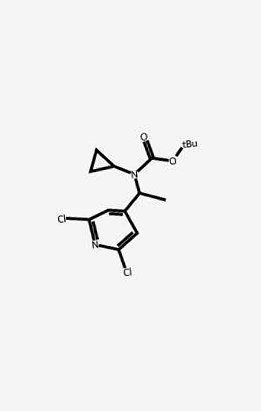 CC(c1cc(Cl)nc(Cl)c1)N(C(=O)OC(C)(C)C)C1CC1